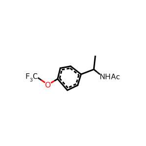 CC(=O)NC(C)c1ccc(OC(F)(F)F)cc1